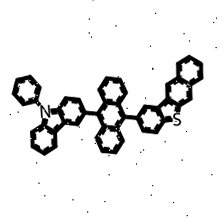 c1ccc(-n2c3ccccc3c3cc(-c4c5ccccc5c(-c5ccc6sc7cc8ccccc8cc7c6c5)c5ccccc45)ccc32)cc1